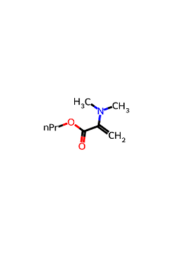 C=C(C(=O)OCCC)N(C)C